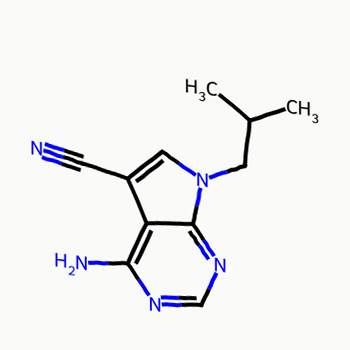 CC(C)Cn1cc(C#N)c2c(N)ncnc21